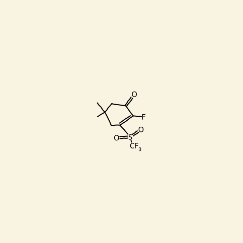 CC1(C)CC(=O)C(F)=C(S(=O)(=O)C(F)(F)F)C1